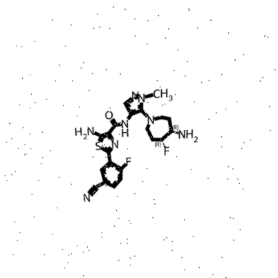 Cn1ncc(NC(=O)c2nc(-c3cc(C#N)ccc3F)sc2N)c1N1CC[C@@H](N)[C@H](F)CC1